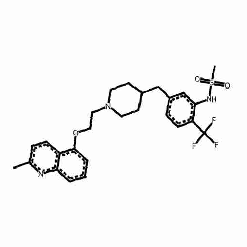 Cc1ccc2c(OCCN3CCC(Cc4ccc(C(F)(F)F)c(NS(C)(=O)=O)c4)CC3)cccc2n1